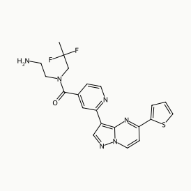 CC(F)(F)CN(CCN)C(=O)c1ccnc(-c2cnn3ccc(-c4cccs4)nc23)c1